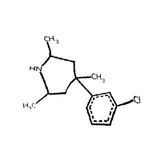 CC1CC(C)(c2cccc(Cl)c2)CC(C)N1